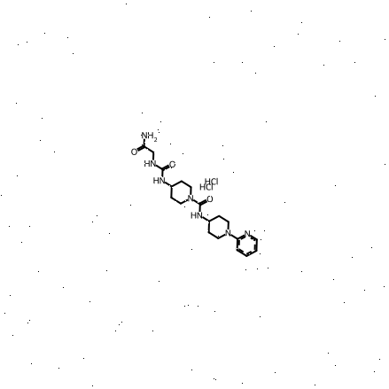 Cl.Cl.NC(=O)CNC(=O)NC1CCN(C(=O)NC2CCN(c3ccccn3)CC2)CC1